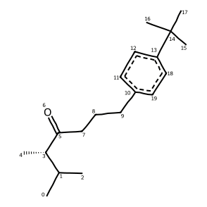 CC(C)[C@H](C)C(=O)CCCc1ccc(C(C)(C)C)cc1